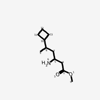 COC(=O)CC(N)CC(C)C1CCC1